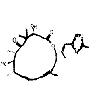 C/C1=C/CCC[C@H](C)[C@@H](O)[C@H](C)C(=O)C(C)(C)[C@@H](O)CC(=O)O[C@H](/C(C)=C/c2csc(C)n2)C1